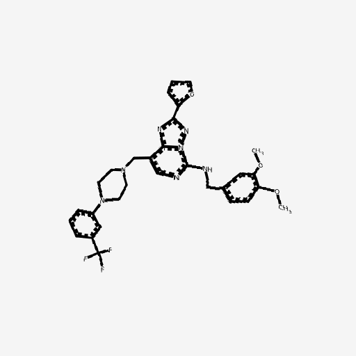 COc1ccc(CNc2ncc(CN3CCN(c4cccc(C(F)(F)F)c4)CC3)c3nc(-c4ccco4)nn23)cc1OC